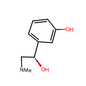 [11CH3]NC[C@H](O)c1cccc(O)c1